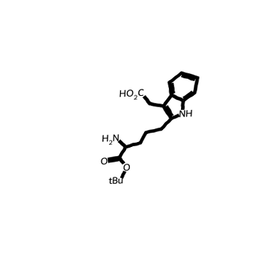 CC(C)(C)OC(=O)C(N)CCCc1[nH]c2ccccc2c1CC(=O)O